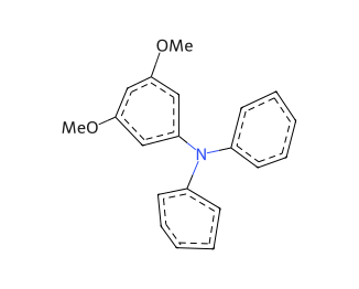 COc1cc(OC)cc(N(c2ccccc2)c2ccccc2)c1